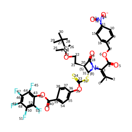 CC(C)=C(C(=O)OCc1ccc([N+](=O)[O-])cc1)N1C(=O)[C@H](CCO[Si](C)(C)C(C)(C)C)[C@H]1SC(=S)Oc1ccc(C(=O)Oc2c(F)c(F)c(F)c(F)c2F)cc1